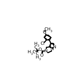 COc1ccc(-c2cnn3c2CN(C(=O)OC(C)(C)C)CC3)c(Cl)c1